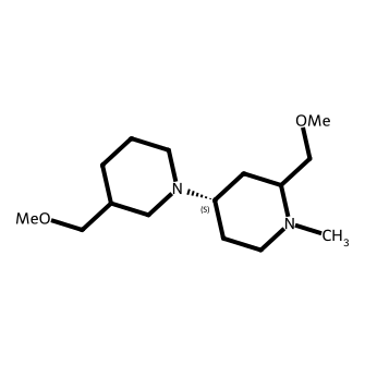 COCC1CCCN([C@H]2CCN(C)C(COC)C2)C1